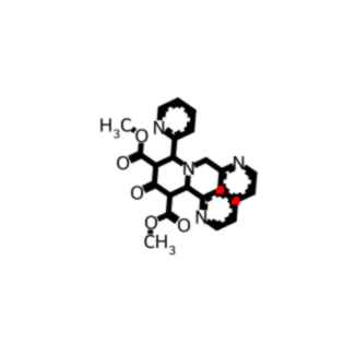 COC(=O)C1C(=O)C(C(=O)OC)C(c2ccccn2)N(Cc2ccccn2)C1c1ccccn1